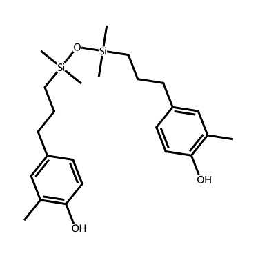 Cc1cc(CCC[Si](C)(C)O[Si](C)(C)CCCc2ccc(O)c(C)c2)ccc1O